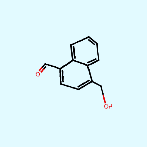 O=Cc1ccc(CO)c2ccccc12